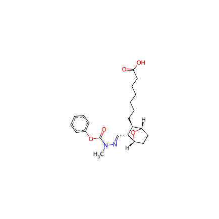 CN(N=C[C@@H]1[C@@H](CCCCCCC(=O)O)[C@@H]2CC[C@H]1O2)C(=O)Oc1ccccc1